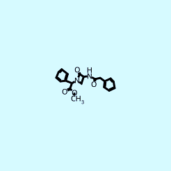 COC(=O)C(c1ccccc1)N1CC(NC(=O)Cc2ccccc2)C1=O